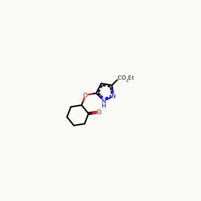 CCOC(=O)c1cc(OC2CCCCC2=O)[nH]n1